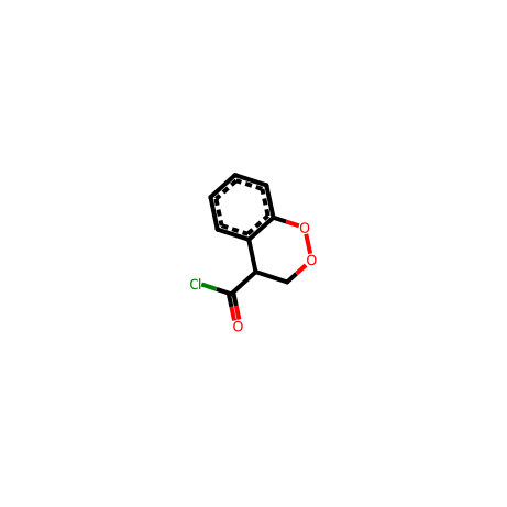 O=C(Cl)C1COOc2ccccc21